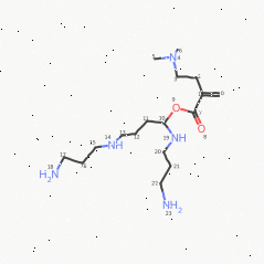 C=C(CCN(C)C)C(=O)OC(CCCNCCCN)NCCCN